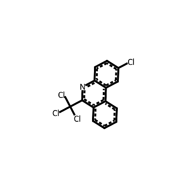 Clc1ccc2nc(C(Cl)(Cl)Cl)c3ccccc3c2c1